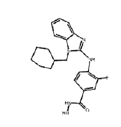 O=C(NO)c1ccc(Nc2nc3ccccc3n2CC2CCCCC2)c(F)c1